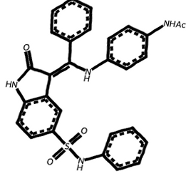 CC(=O)Nc1ccc(NC(=C2C(=O)Nc3ccc(S(=O)(=O)Nc4ccccc4)cc32)c2ccccc2)cc1